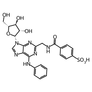 O=C(NCc1nc(Nc2ccccc2)c2ncn([C@@H]3O[C@H](CO)[C@@H](O)[C@@H]3O)c2n1)c1ccc(S(=O)(=O)O)cc1